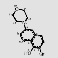 Oc1c(Br)ccc2cc(N3CCOCC3)cnc12